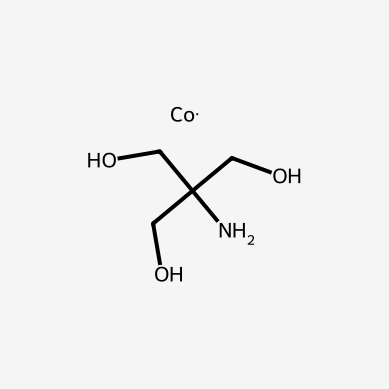 NC(CO)(CO)CO.[Co]